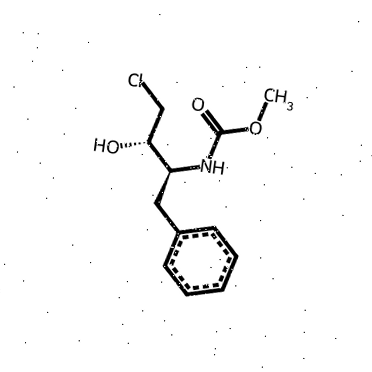 COC(=O)N[C@@H](Cc1ccccc1)[C@H](O)CCl